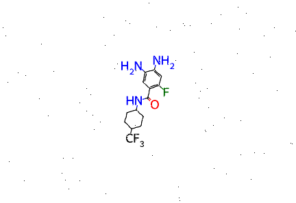 Nc1cc(F)c(C(=O)NC2CCC(C(F)(F)F)CC2)cc1N